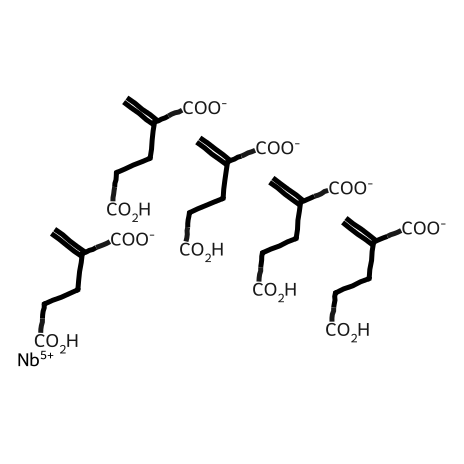 C=C(CCC(=O)O)C(=O)[O-].C=C(CCC(=O)O)C(=O)[O-].C=C(CCC(=O)O)C(=O)[O-].C=C(CCC(=O)O)C(=O)[O-].C=C(CCC(=O)O)C(=O)[O-].[Nb+5]